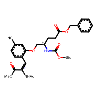 COC(=O)/C(=C\c1ccc(C#N)cc1OC[C@@H](CCC(=O)OCc1ccccc1)NC(=O)OC(C)(C)C)NC(C)=O